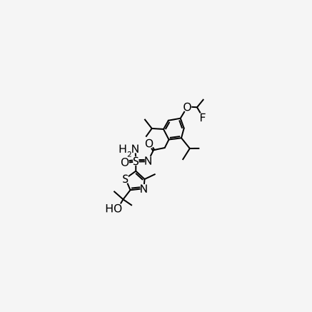 Cc1nc(C(C)(C)O)sc1S(N)(=O)=NC(=O)Cc1c(C(C)C)cc(OC(C)F)cc1C(C)C